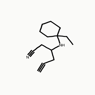 C#CCC(CC#N)NC1(CC)CCCCC1